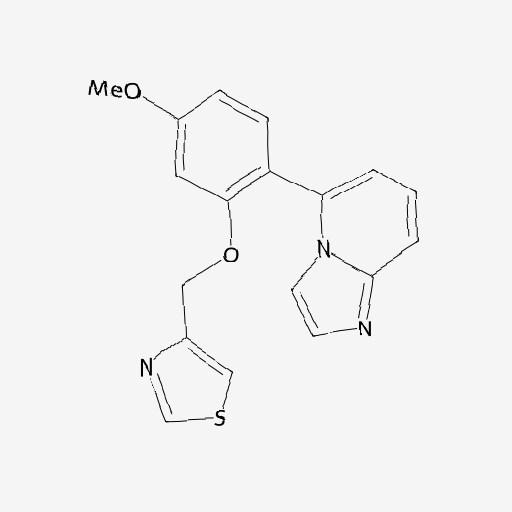 COc1ccc(-c2cccc3nccn23)c(OCc2cscn2)c1